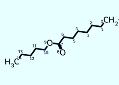 [CH2]CCCCCCC(=O)OCCCCC